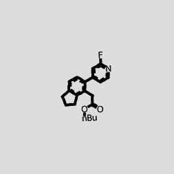 CCCCOC(=O)Cc1c(-c2ccnc(F)c2)ccc2c1CCC2